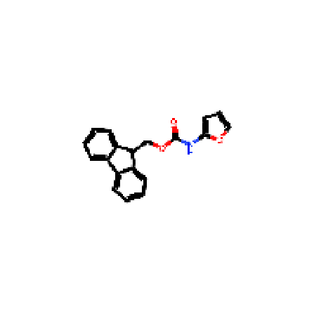 O=C(Nc1ccco1)OCC1c2ccccc2-c2ccccc21